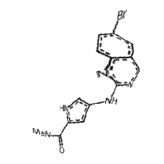 CNC(=O)c1cc(Nc2ncc3cc(Br)ccc3n2)c[nH]1